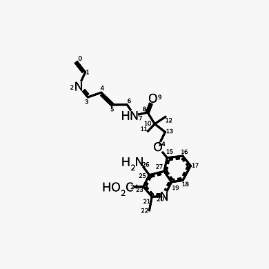 C=C/N=C\C=C\CNC(=O)C(C)(C)COc1cccc2nc(C)c(C(=O)O)c(N)c12